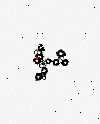 O=P1(c2ccccc2)N(c2ccc3oc4ccccc4c3c2)c2ccc(-c3ccc4c5ccccc5n(-c5ccccc5)c4c3)cc2N1c1ccc2oc3ccccc3c2c1